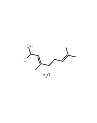 CC(C)=CCCC(C)=CC(O)O.O